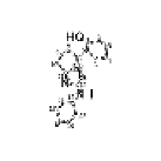 Oc1ccccc1-c1cccc2nc(Nc3ccccc3)nn12